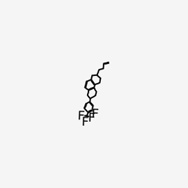 C=CCCC1CCc2c(ccc3c2CCC(c2ccc(C(F)(F)F)c(F)c2)C3)C1